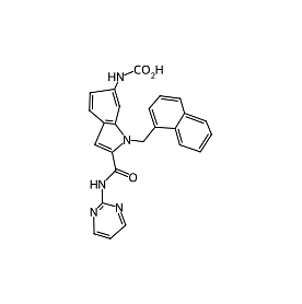 O=C(O)Nc1ccc2cc(C(=O)Nc3ncccn3)n(Cc3cccc4ccccc34)c2c1